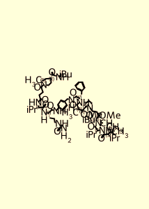 CCC(C)NC(=O)[C@@H]1CCN(C(=O)CCC(=O)N[C@H](C(=O)N[C@@H](CCCNC(N)=O)C(=O)Nc2ccc(CNC(=O)[C@H](Cc3ccccc3)NC(=O)[C@H](C)[C@@H](OC)[C@@H]3CCCN3C(=O)C[C@@H](OC)[C@H]([C@@H](C)CC)N(C)C(=O)[C@@H](NC(=O)[C@H](C(C)C)N(C)C)C(C)C)cc2)C(C)C)[C@H](C)C1